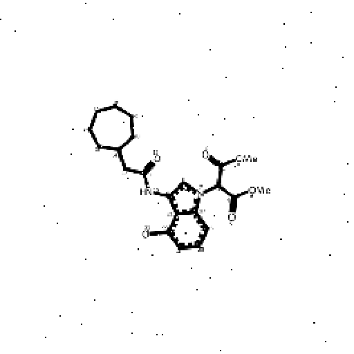 COC(=O)C(C(=O)OC)n1cc(NC(=O)CC2CCCCCC2)c2c(Cl)cccc21